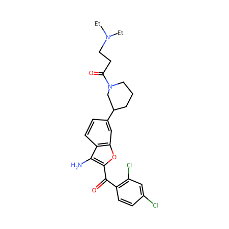 CCN(CC)CCC(=O)N1CCCC(c2ccc3c(N)c(C(=O)c4ccc(Cl)cc4Cl)oc3c2)C1